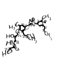 CCCc1cc(-c2nc(-c3cc(C)c(OC[C@H](O)CNC(=O)CO)c(CC)c3)no2)cc(C)n1